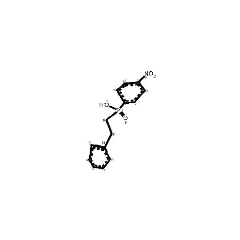 O=[N+]([O-])c1ccc(P(=O)(O)CCc2ccccc2)cc1